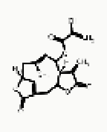 C=C(C)C(=O)OC1/C=C(\C)C[C@@H]2C=C(CC3OC(=O)C(=C)[C@@H]13)C(=O)O2